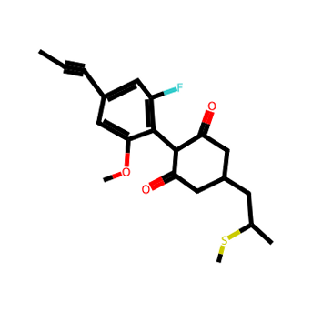 CC#Cc1cc(F)c(C2C(=O)CC(CC(C)SC)CC2=O)c(OC)c1